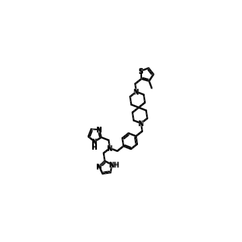 Cc1ccsc1CN1CCC2(CCN(Cc3ccc(CN(Cc4ncc[nH]4)Cc4ncc[nH]4)cc3)CC2)CC1